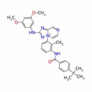 COc1cc(NC2=N[N+]3(c4cccc(NC(=O)c5ccc(C(C)(C)C)cc5)c4C)C=CN=CC3=N2)cc(OC)c1